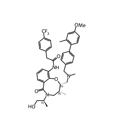 COc1ccc(-c2ccc(CN(C)C[C@H]3Oc4c(NC(=O)Cc5ccc(C(F)(F)F)cc5)cccc4C(=O)N([C@@H](C)CO)C[C@H]3C)cc2)c(C)c1